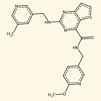 COc1ccc(CNC(=O)c2nc(NCc3cncc(C)c3)nc3ccsc23)cn1